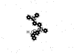 CC1(C)c2cc(-c3nc(-c4ccccc4)nc(-c4cccc(-c5cccc(-c6cc(-c7ccccc7)nc(-c7ccccc7)n6)c5)c4)n3)ccc2-c2c1ccc1ccccc21